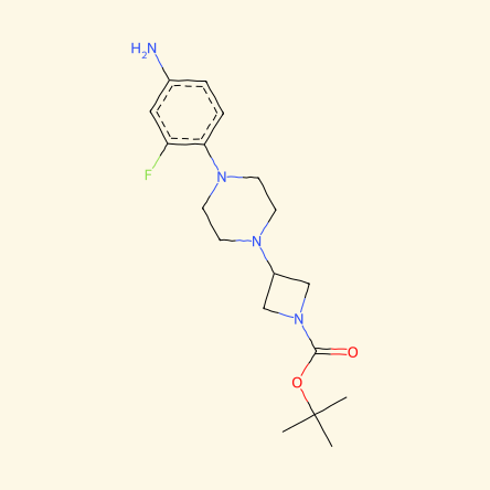 CC(C)(C)OC(=O)N1CC(N2CCN(c3ccc(N)cc3F)CC2)C1